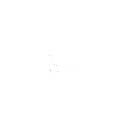 Cc1cc(OC(F)F)ccc1-n1c(=O)n(-c2ccc3nn(C)cc3c2)c(=O)c2sc(C3CC3)nc21